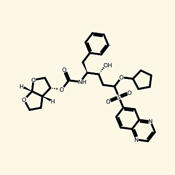 O=C(N[C@@H](Cc1ccccc1)[C@H](O)CC(OC1CCCC1)S(=O)(=O)c1ccc2nccnc2c1)O[C@H]1CO[C@H]2OCC[C@H]21